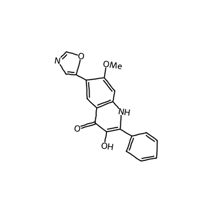 COc1cc2[nH]c(-c3ccccc3)c(O)c(=O)c2cc1-c1cnco1